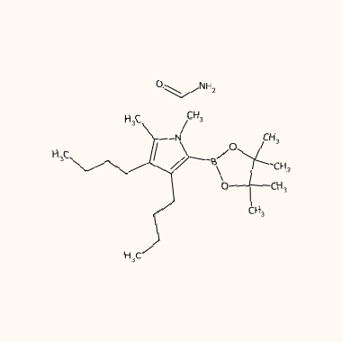 CCCCc1c(CCCC)c(B2OC(C)(C)C(C)(C)O2)n(C)c1C.NC=O